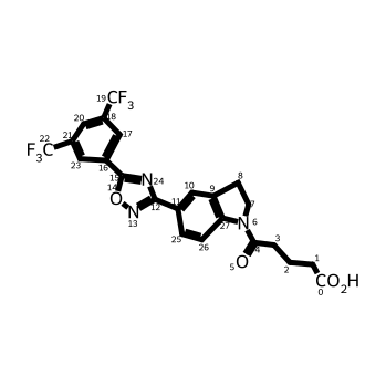 O=C(O)CCCC(=O)N1CCc2cc(-c3noc(-c4cc(C(F)(F)F)cc(C(F)(F)F)c4)n3)ccc21